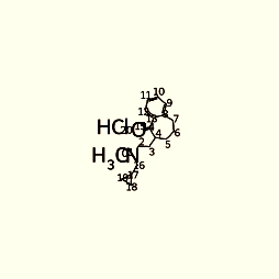 CN(CCC1CCCc2ccccc2C1=O)CC1CC1.Cl